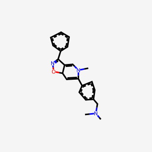 CN(C)Cc1ccc(C2=CC3ON=C(c4ccccc4)C3=CN2C)cc1